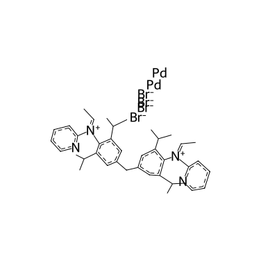 CC=[N+](c1ccccn1)c1c(C(C)C)cc(Cc2cc(C(C)C)c([N+](=CC)c3ccccn3)c(C(C)C)c2)cc1C(C)C.[Br-].[Br-].[Br-].[Br-].[Pd].[Pd]